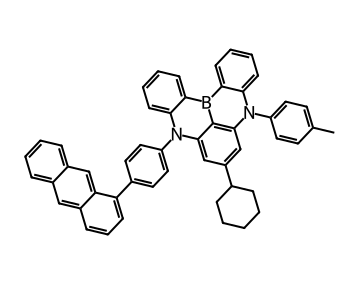 Cc1ccc(N2c3ccccc3B3c4ccccc4N(c4ccc(-c5cccc6cc7ccccc7cc56)cc4)c4cc(C5CCCCC5)cc2c43)cc1